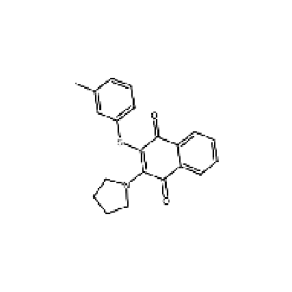 Cc1cccc(SC2=C(N3CCCC3)C(=O)c3ccccc3C2=O)c1